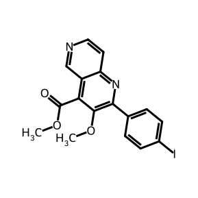 COC(=O)c1c(OC)c(-c2ccc(I)cc2)nc2ccncc12